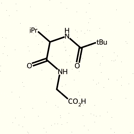 CC(C)C(NC(=O)C(C)(C)C)C(=O)NCC(=O)O